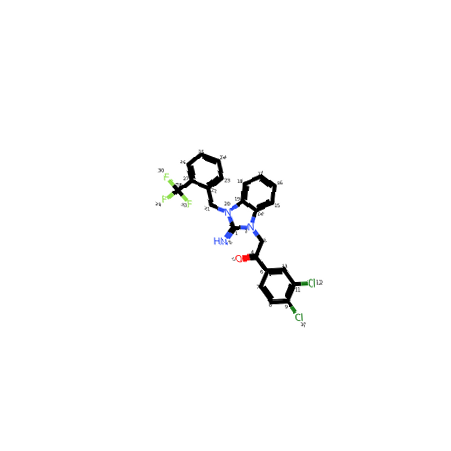 N=c1n(CC(=O)c2ccc(Cl)c(Cl)c2)c2ccccc2n1Cc1ccccc1C(F)(F)F